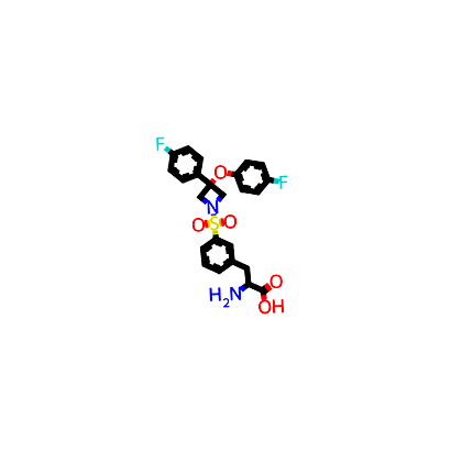 NC(Cc1cccc(S(=O)(=O)N2CC(Oc3ccc(F)cc3)(c3ccc(F)cc3)C2)c1)C(=O)O